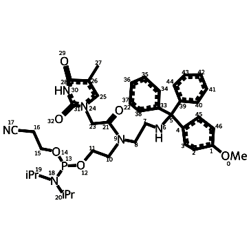 COc1ccc(C(NCCN(CCOP(OCCC#N)N(C(C)C)C(C)C)C(=O)Cn2cc(C)c(=O)[nH]c2=O)(c2ccccc2)c2ccccc2)cc1